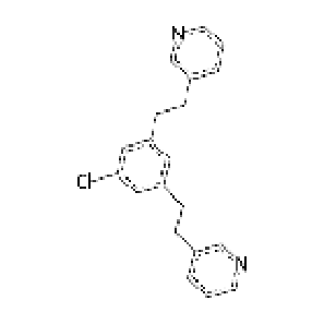 Clc1cc(CCc2cccnc2)cc(CCc2cccnc2)c1